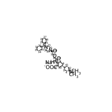 CN(C)c1ccc(-c2ccc(NC(=O)COCC(=O)N3CCN(C(c4ccccc4)c4ccccc4)CC3)c(C(=O)[O-])c2)cc1.[Na+]